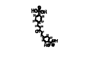 O=C(/C=C/c1ccc(P(=O)(O)O)cc1)/C=C/c1ccc(P(=O)(O)O)cc1